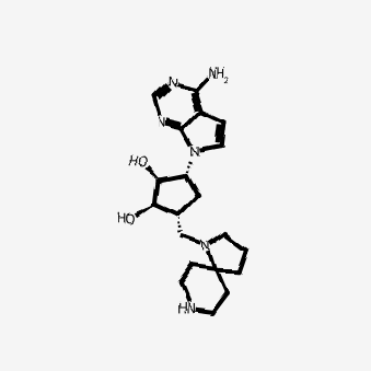 Nc1ncnc2c1ccn2[C@@H]1C[C@H](CN2CCCC23CCNCC3)[C@@H](O)[C@H]1O